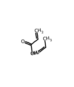 C=CC(=O)O.C[CH]=[AlH]